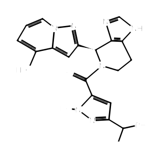 Cc1cccn2nc([C@H]3c4nc[nH]c4CCN3C(=O)c3cc(C(F)P)nn3C)cc12